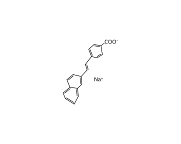 O=C([O-])c1ccc(/C=C/c2ccc3ccccc3c2)cc1.[Na+]